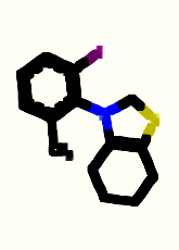 Cc1cccc(I)c1N1CSC2=C1CCCC2